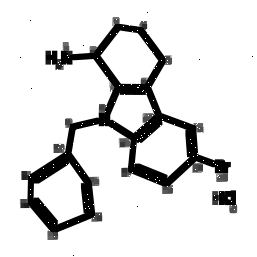 Cl.NC1CCCc2c1n(Cc1ccccc1)c1ccc(Br)cc21